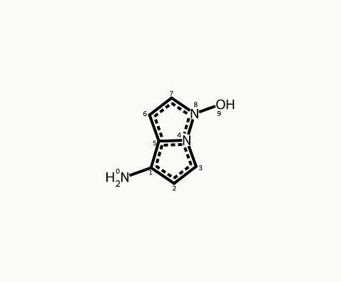 Nc1ccn2c1ccn2O